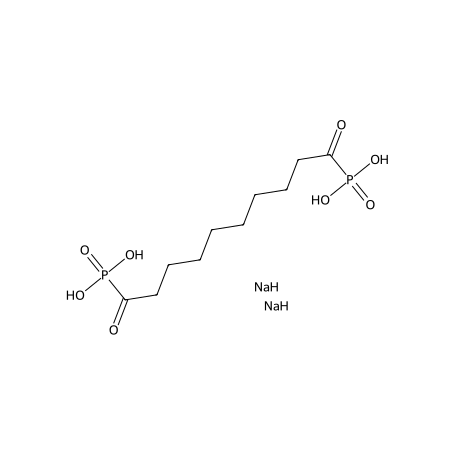 O=C(CCCCCCCCC(=O)P(=O)(O)O)P(=O)(O)O.[NaH].[NaH]